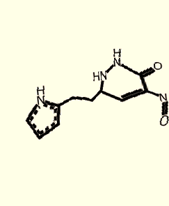 O=NC1=CC(CCc2ccc[nH]2)NNC1=O